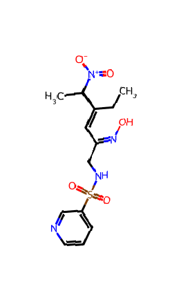 CCC(=CC(CNS(=O)(=O)c1cccnc1)=NO)C(C)[N+](=O)[O-]